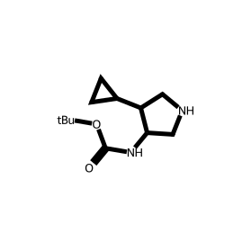 CC(C)(C)OC(=O)NC1CNCC1C1CC1